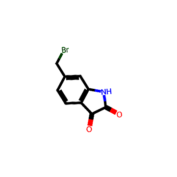 O=C1Nc2cc(CBr)ccc2C1=O